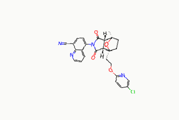 C[C@]12CC[C@](CCOc3ccc(Cl)cn3)(O1)[C@@H]1C(=O)N(c3ccc(C#N)c4ncccc34)C(=O)[C@@H]12